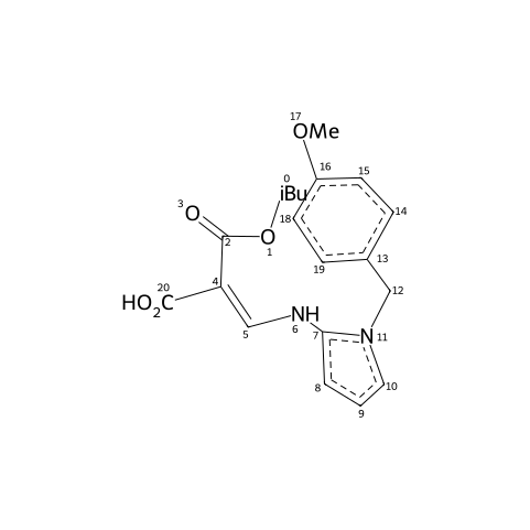 CCC(C)OC(=O)C(=CNc1cccn1Cc1ccc(OC)cc1)C(=O)O